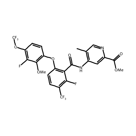 COC(=O)c1cc(NC(=O)c2c(Oc3ccc(OC(F)(F)F)c(F)c3OC)ccc(C(F)(F)F)c2F)c(C)cn1